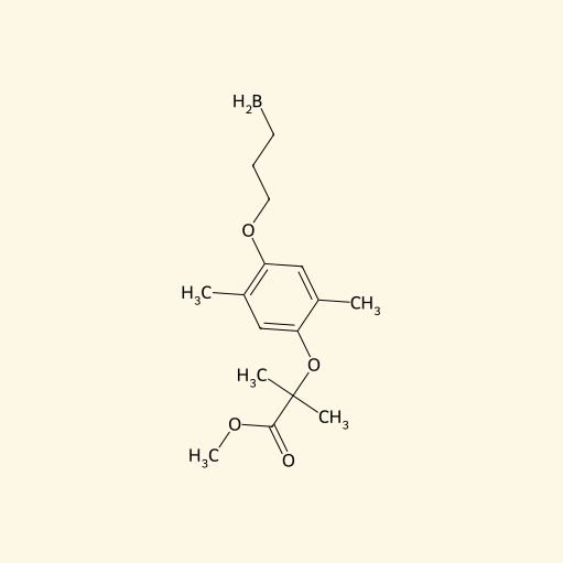 BCCCOc1cc(C)c(OC(C)(C)C(=O)OC)cc1C